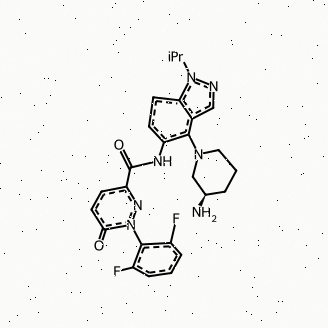 CC(C)n1ncc2c(N3CCC[C@@H](N)C3)c(NC(=O)c3ccc(=O)n(-c4c(F)cccc4F)n3)ccc21